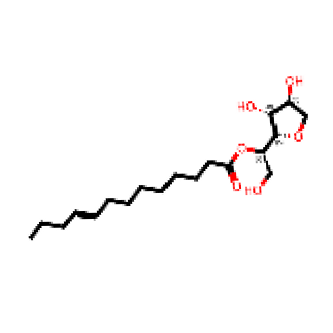 CCCC=CCCCCCCCC(=O)O[C@H](CO)[C@H]1OC[C@H](O)[C@H]1O